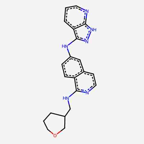 c1cnc2[nH]nc(Nc3ccc4c(NCC5CCCOC5)nccc4c3)c2c1